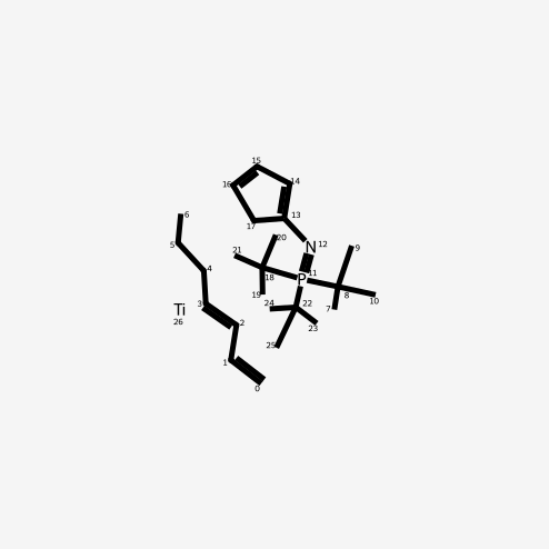 C=CC=CCCC.CC(C)(C)P(=NC1=CC=CC1)(C(C)(C)C)C(C)(C)C.[Ti]